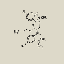 CCCCC1CC(c2ccc(Cl)cc2)(N(C)C)CCC1N(CC)c1ccc(Cl)cc1OC